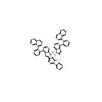 CC(C)C1=Cc2c(-c3ccccc3-c3cccc4ccccc34)cccc2[CH]1[Hf]([Cl])([Cl])([c]1cccc2c1[SiH2]c1ccccc1-2)[CH]1C(C(C)C)=Cc2c(-c3ccccc3-c3cccc4ccccc34)cccc21